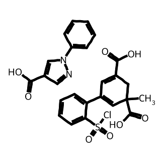 CC1(C(=O)O)C=C(c2ccccc2S(=O)(=O)Cl)C=C(C(=O)O)C1.O=C(O)c1cnn(-c2ccccc2)c1